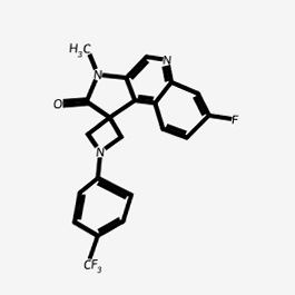 CN1C(=O)C2(CN(c3ccc(C(F)(F)F)cc3)C2)c2c1cnc1cc(F)ccc21